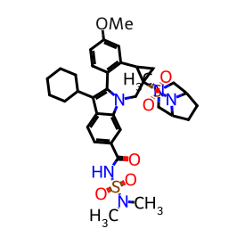 COc1ccc2c(c1)C1CC1(S(=O)(=O)N1C3CCC1CN(C)C3)Cn1c-2c(C2CCCCC2)c2ccc(C(=O)NS(=O)(=O)N(C)C)cc21